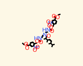 CCOC(=O)c1ccc(COC(=O)NCCN(CCNC(=O)OCc2ccc(C(=O)OCC)cc2[N+](=O)[O-])C(=O)C(C)C(C)/C=C\C(C)C(C)C)c([N+](=O)[O-])c1